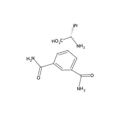 CC(C)[C@H](N)C(=O)O.NC(=O)c1cccc(C(N)=O)c1